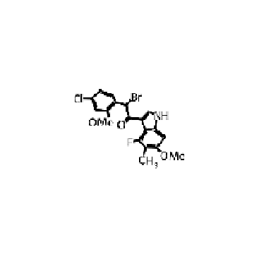 COc1cc(Cl)ccc1C(Br)C(=O)c1c[nH]c2cc(OC)c(C)c(F)c12